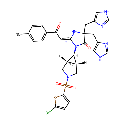 N#Cc1ccc(C(=O)/C=C2\NC(Cc3c[nH]cn3)(Cc3c[nH]cn3)C(=O)N2[C@H]2[C@@H]3CN(S(=O)(=O)c4ccc(Br)s4)C[C@@H]32)cc1